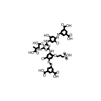 CC(C(=O)O)C(Nc1nc(Nc2cc(Cl)c(N=Nc3cc(C(=O)O)cc(C(=O)O)c3)cc2O)nc(Nc2cc(Cl)c(N=Nc3cc(C(=O)O)cc(C(=O)O)c3)cc2OCCCS(=O)(=O)O)n1)C(=O)O